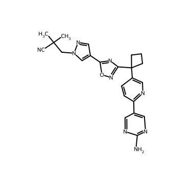 CC(C)(C#N)Cn1cc(-c2nc(C3(c4ccc(-c5cnc(N)nc5)nc4)CCC3)no2)cn1